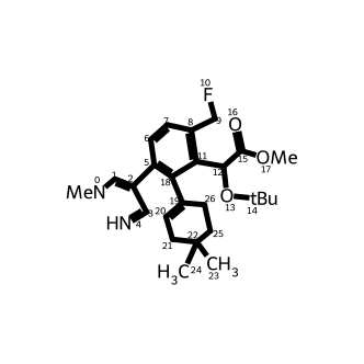 CN/C=C(\C=N)c1ccc(CF)c(C(OC(C)(C)C)C(=O)OC)c1C1=CCC(C)(C)CC1